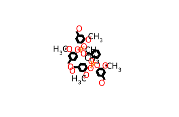 COc1cc(C=O)ccc1OP(Oc1ccc(C=O)cc1OC)Oc1ccccc1C(C)(C)OP(Oc1ccc(C=O)cc1OC)Oc1ccc(C=O)cc1OC